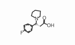 O=C(O)C[C@H](c1ccc(F)cc1)N1CCCCC1